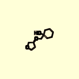 OC1(CO[C@H]2CCOC2)CCCCC1